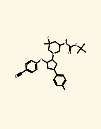 CC(C)(C)OC(=O)NC1CN(C2CC(c3ccc(F)cc3)CC2Oc2ccc(C#N)cc2)CC(F)(F)C1